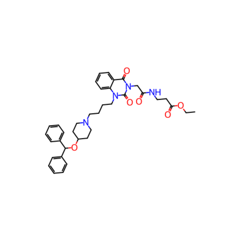 CCOC(=O)CCNC(=O)Cn1c(=O)c2ccccc2n(CCCCN2CCC(OC(c3ccccc3)c3ccccc3)CC2)c1=O